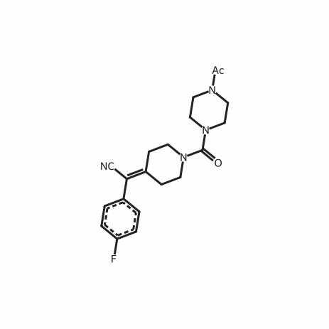 CC(=O)N1CCN(C(=O)N2CCC(=C(C#N)c3ccc(F)cc3)CC2)CC1